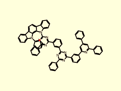 c1ccc(-c2cc(-c3ccccc3)nc(-c3cccc(-c4nc(-c5ccccc5)nc(-c5cccc(-c6nc(-c7ccccc7)nc(-n7c8ccccc8c8ccc9c%10ccccc%10n(-c%10ccccc%10)c9c87)n6)c5)n4)c3)c2)cc1